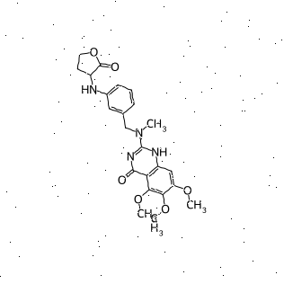 COc1cc2[nH]c(N(C)Cc3cccc(NC4CCOC4=O)c3)nc(=O)c2c(OC)c1OC